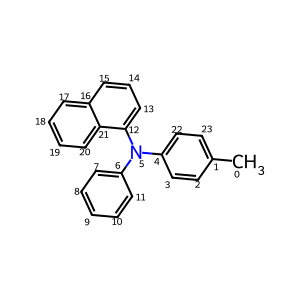 Cc1ccc(N(c2ccccc2)c2cccc3ccccc23)cc1